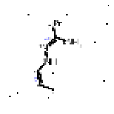 C/C=C\N/N=C(\N)C(C)C